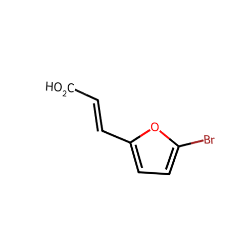 O=C(O)/C=C/c1ccc(Br)o1